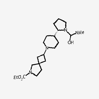 CCOC(=O)N1CCC2(CC(N3CCC([C@@H]4CCCN4C(O)NC)CC3)C2)C1